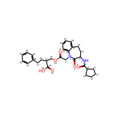 O=C(CN1C(=O)C(NC(=O)C2CCCC2)CCc2ccccc21)OCC(CCc1ccccc1)C(=O)O